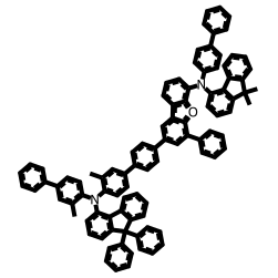 Cc1cc(-c2ccccc2)ccc1N(c1ccc(-c2ccc(-c3cc(-c4ccccc4)c4oc5c(N(c6ccc(-c7ccccc7)cc6)c6cccc7c6-c6ccccc6C7(C)C)cccc5c4c3)cc2)cc1C)c1cccc2c1-c1ccccc1C2(c1ccccc1)c1ccccc1